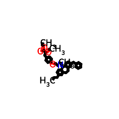 CCCc1ccc2c(c1)CCc1cc(Cc3ccccc3)ccc1C2N(C)CCOc1ccc(CC(OCC)C(=O)OCC)cc1